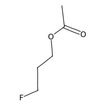 CC(=O)OCCCF